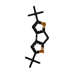 C[Si](C)(C)c1cc2c(s1)Cc1sc([Si](C)(C)C)cc1-2